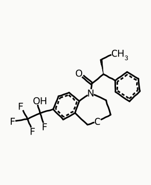 CC[C@H](C(=O)N1CCCCc2cc(C(O)(F)C(F)(F)F)ccc21)c1ccccc1